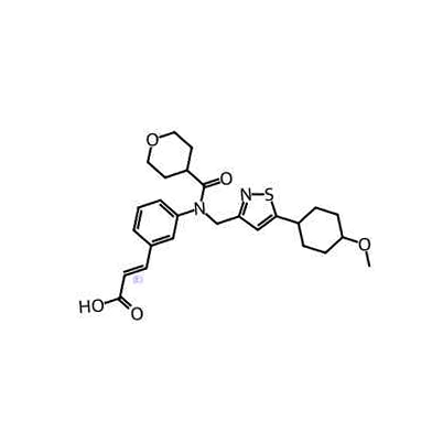 COC1CCC(c2cc(CN(C(=O)C3CCOCC3)c3cccc(/C=C/C(=O)O)c3)ns2)CC1